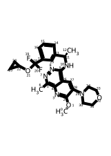 COc1nc2c(C)nnc(N[C@H](C)c3cccc(C(F)(F)OC4CC4)c3)c2cc1N1CCOCC1